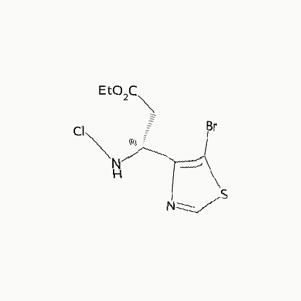 CCOC(=O)C[C@@H](NCl)c1ncsc1Br